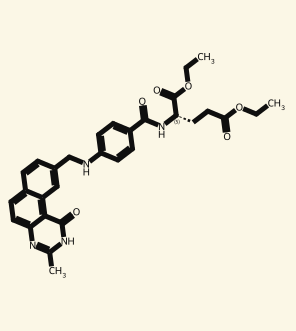 CCOC(=O)CC[C@H](NC(=O)c1ccc(NCc2ccc3ccc4nc(C)[nH]c(=O)c4c3c2)cc1)C(=O)OCC